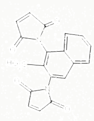 O=C(O)c1c(N2C(=O)C=CC2=O)cc2ccccc2c1N1C(=O)C=CC1=O